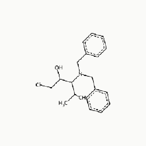 CC(C)C(C(O)CCl)N(Cc1ccccc1)Cc1ccccc1